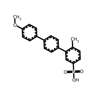 COc1ccc(-c2ccc(-c3cc(S(=O)(=O)O)ccc3C)cc2)cc1